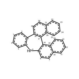 c1ccc2c(c1)Pc1ccc3ccccc3c1-c1c-2ccc2ccccc12